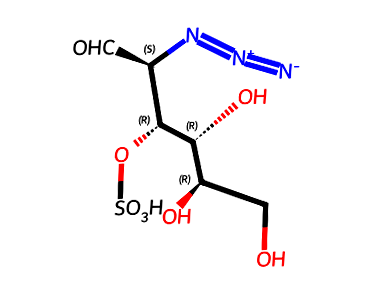 [N-]=[N+]=N[C@H](C=O)[C@@H](OS(=O)(=O)O)[C@H](O)[C@H](O)CO